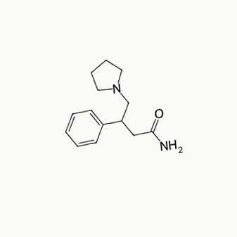 NC(=O)CC(CN1CCCC1)c1ccccc1